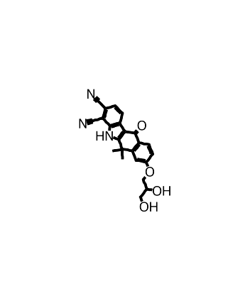 CC1(C)c2cc(OCC(O)CO)ccc2C(=O)c2c1[nH]c1c(C#N)c(C#N)ccc21